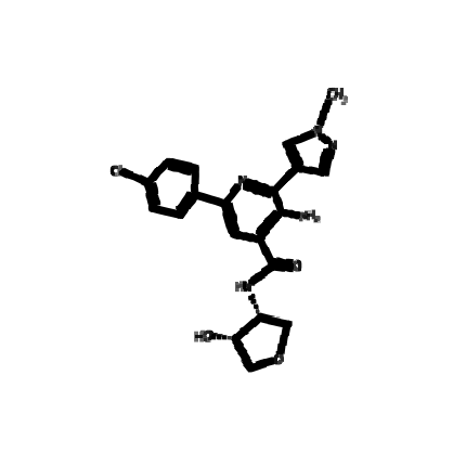 Cn1cc(-c2nc(-c3ccc(Cl)cc3)cc(C(=O)N[C@@H]3COC[C@@H]3O)c2N)cn1